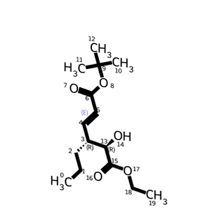 CCC[C@H](/C=C/C(=O)OC(C)(C)C)[C@@H](O)C(=O)OCC